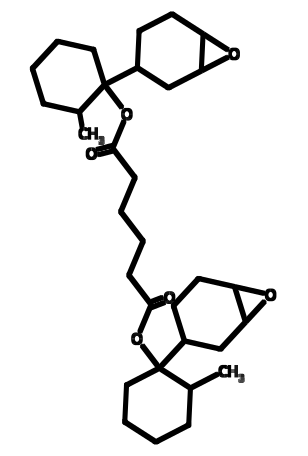 CC1CCCCC1(OC(=O)CCCCC(=O)OC1(C2CCC3OC3C2)CCCCC1C)C1CCC2OC2C1